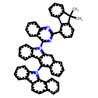 CC1(C)c2ccccc2-c2c(-c3nc(-n4c5ccccc5c5c(-n6c7ccccc7c7ccc8ccccc8c76)c6ccccc6cc54)c4ccccc4n3)cccc21